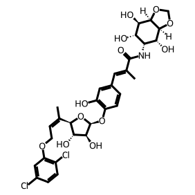 C/C(=C/COc1cc(Cl)ccc1Cl)[C@H]1O[C@@H](Oc2ccc(/C=C(\C)C(=O)N[C@@H]3[C@H](O)[C@@H](O)[C@H]4OCO[C@H]4[C@@H]3O)cc2O)[C@@H](O)[C@@H]1O